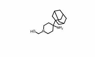 NC1(C23CC4CC(CC(C4)C2)C3)CCN(CO)CC1